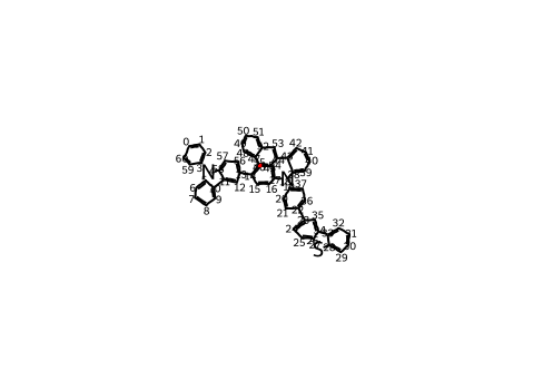 c1ccc(-n2c3ccccc3c3cc(-c4ccc(N(c5ccc(-c6ccc7sc8ccccc8c7c6)cc5)c5ccccc5-c5ccc6ccccc6c5)cc4)ccc32)cc1